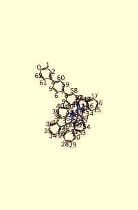 c1ccc(-c2ccc(-c3ccc(N(c4ccccc4)c4ccc5c(c4)C4(c6ccccc6-5)c5ccccc5-c5cccc(N(c6ccccc6)c6ccccc6)c54)cc3)cc2)cc1